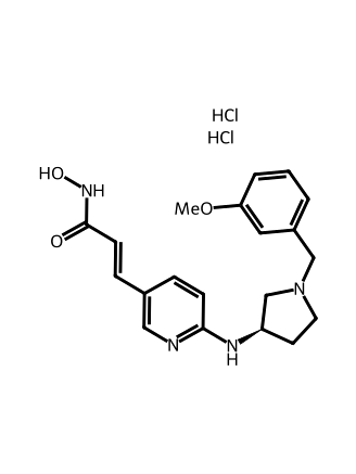 COc1cccc(CN2CC[C@@H](Nc3ccc(C=CC(=O)NO)cn3)C2)c1.Cl.Cl